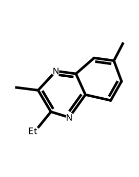 CCc1nc2ccc(C)cc2nc1C